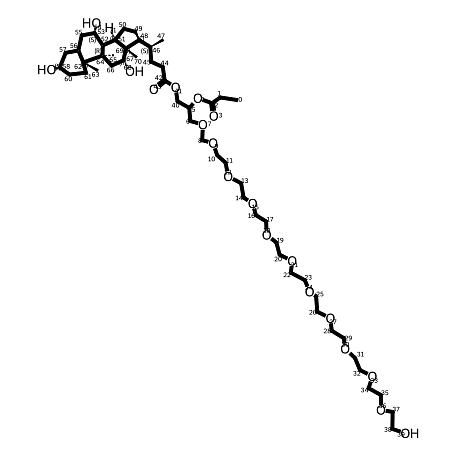 CCC(=O)OC(COCOCCOCCOCCOCCOCCOCCOCCOCCOCCOCCO)COC(=O)CC[C@H](C)[C@@H]1CC[C@@H]2C3[C@@H](O)CC4C[C@@H](O)CC[C@@]4(C)[C@]3(C)C[C@@H](O)[C@]21C